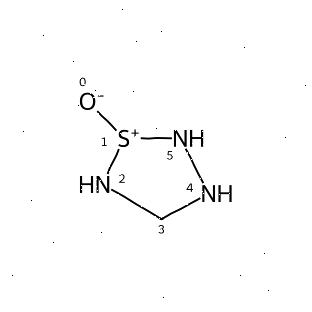 [O-][S+]1NCNN1